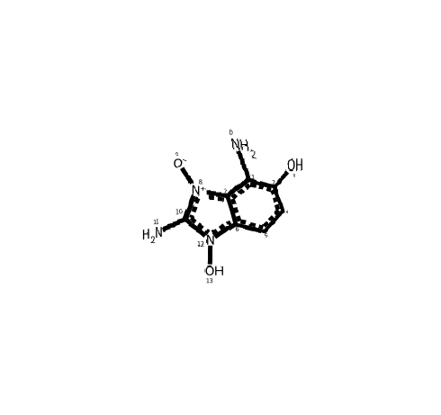 Nc1c(O)ccc2c1[n+]([O-])c(N)n2O